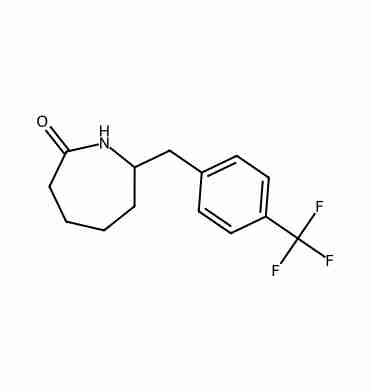 O=C1CCCCC(Cc2ccc(C(F)(F)F)cc2)N1